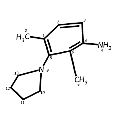 Cc1ccc(N)c(C)c1N1CCCC1